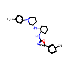 N#Cc1cccc(-c2cnc(N[C@@H]3CCCC[C@H]3N[C@H]3CCCN(c4ccc(C(F)(F)F)cc4)C3)o2)c1